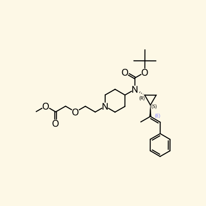 COC(=O)COCCN1CCC(N(C(=O)OC(C)(C)C)[C@@H]2C[C@H]2/C(C)=C/c2ccccc2)CC1